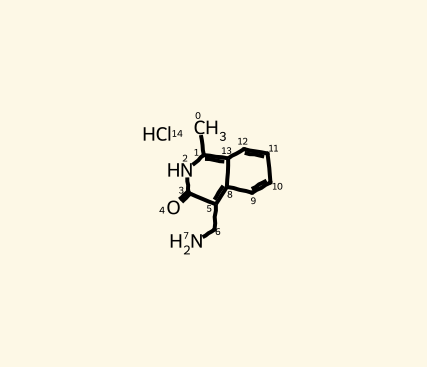 Cc1[nH]c(=O)c(CN)c2ccccc12.Cl